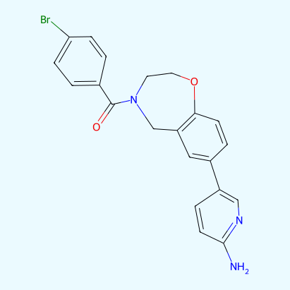 Nc1ccc(-c2ccc3c(c2)CN(C(=O)c2ccc(Br)cc2)CCO3)cn1